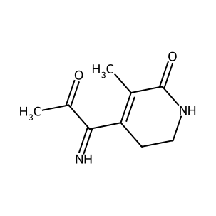 CC(=O)C(=N)C1=C(C)C(=O)NCC1